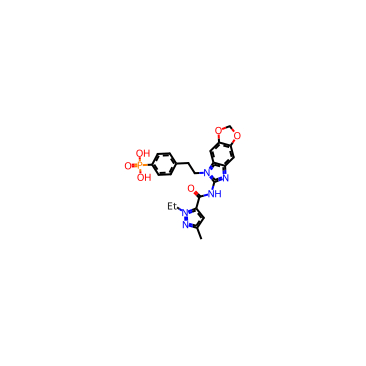 CCn1nc(C)cc1C(=O)Nc1nc2cc3c(cc2n1CCc1ccc(P(=O)(O)O)cc1)OCO3